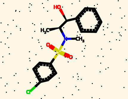 C[C@@H]([C@@H](O)c1ccccc1)N(C)S(=O)(=O)c1ccc(Cl)cc1